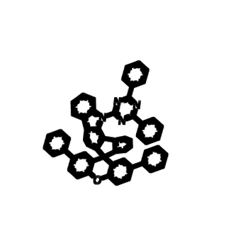 c1ccc(-c2ccc3c(c2)C2(c4cc(-c5ccccc5)ccc4O3)c3ccccc3-c3c2ccc2c4ccccc4n(-c4nc(-c5ccccc5)nc(-c5ccccc5)n4)c32)cc1